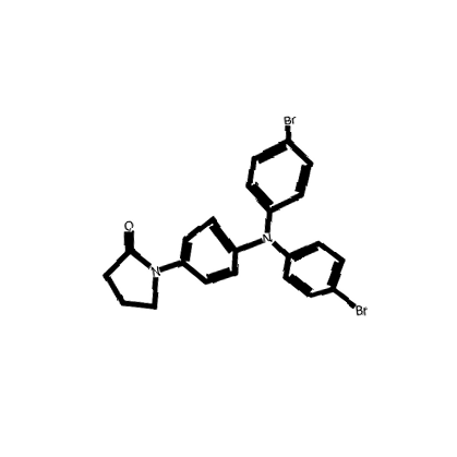 O=C1CCCN1c1ccc(N(c2ccc(Br)cc2)c2ccc(Br)cc2)cc1